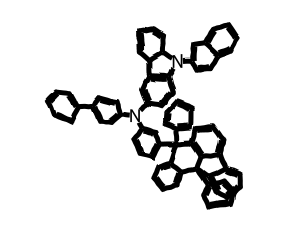 C1=CC2c3cc(N(c4ccc(-c5ccccc5)cc4)c4cccc(C5(c6ccccc6)c6ccccc6C6(c7ccccc7)c7ccccc7-c7cccc5c76)c4)ccc3N(c3ccc4ccccc4c3)C2C=C1